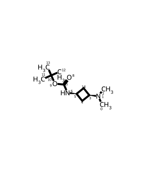 CN(C)[C@H]1C[C@@H](NC(=O)OC(C)(C)C)C1